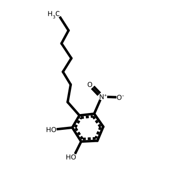 CCCCCCCc1c([N+](=O)[O-])ccc(O)c1O